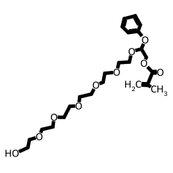 C=C(C)C(=O)OCC(OCCOCCOCCOCCOCCOCCO)Oc1ccccc1